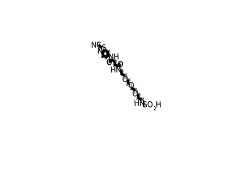 N#Cc1nc2ccc(NC(=O)CCC(=O)NCCCOCCOCCOCCCNC(=O)O)cc2s1